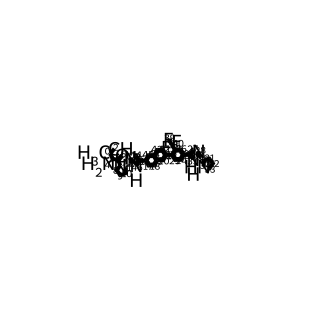 CC(C)[C@H](N)C(=O)N1CCC[C@H]1c1ncc(-c2ccc3cc(-c4ccc(-c5cnc([C@@H]6CCCN6)[nH]5)cc4C(F)(F)F)ccc3c2)[nH]1